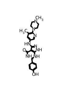 Cc1cc(Nc2n[nH]c(NCc3ccc(O)cc3)c2C(N)=O)cnc1N1CCN(C)CC1